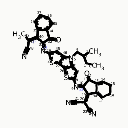 CCC(C)Cn1c2cc(/N=C3\C(=O)C4=CCCC=C4C3=C(C#N)C#N)sc2c2sc(/N=C3\C(=O)c4ccccc4\C3=C(/C)C#N)cc21